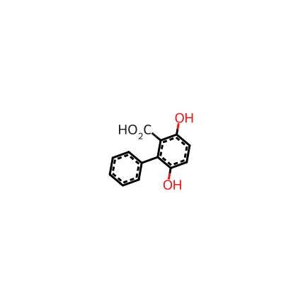 O=C(O)c1c(O)ccc(O)c1-c1ccccc1